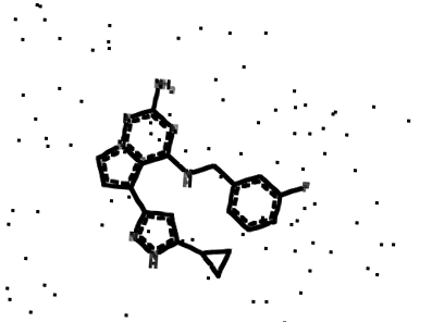 Nc1nc(NCc2cccc(F)c2)c2c(-c3cc(C4CC4)[nH]n3)ccn2n1